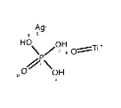 O=P(O)(O)O.[Ag].[O]=[Ti]